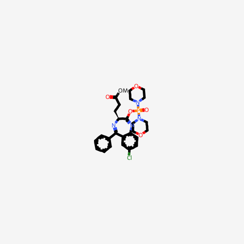 COC(=O)CC[C@@H]1N=C(c2ccccc2)c2cc(Cl)ccc2N=C1OP(=O)(N1CCOCC1)N1CCOCC1